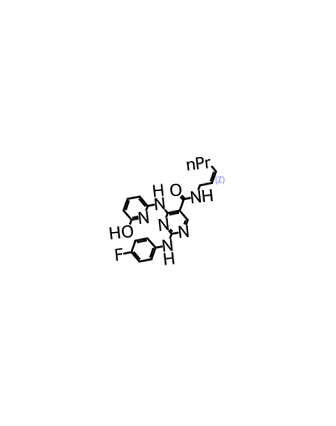 CCC/C=C\CNC(=O)c1cnc(Nc2ccc(F)cc2)nc1Nc1cccc(O)n1